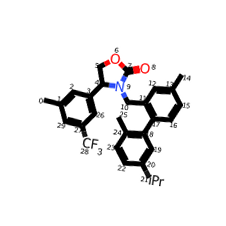 Cc1cc(C2COC(=O)N2Cc2cc(C)ccc2-c2cc(C(C)C)ccc2C)cc(C(F)(F)F)c1